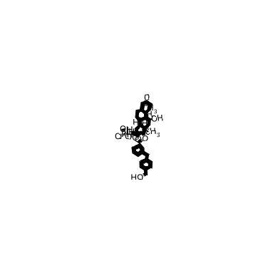 C[C@]12C=CC(=O)C=C1CC[C@@H]1[C@@H]2[C@@H](O)C[C@@]2(C)[C@H]1C[C@H]1O[C@@H](c3cccc(Cc4ccc(CO)cc4)c3)O[C@]12C(=O)CO[PH](=O)O